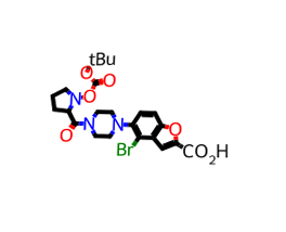 CC(C)(C)OC(=O)ON1CCCC1C(=O)N1CCN(c2ccc3oc(C(=O)O)cc3c2Br)CC1